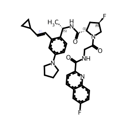 C[C@H](NC(=O)[C@@H]1C[C@@H](F)CN1C(=O)CNC(=O)c1ccc2cc(F)ccc2n1)c1ccc(N2CCCC2)cc1/C=C/C1CC1